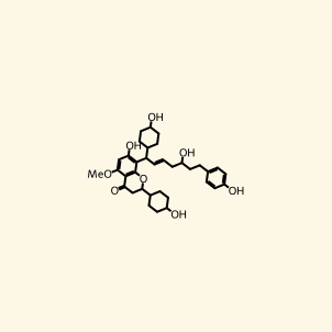 COc1cc(O)c(C(/C=C/CC(O)CCc2ccc(O)cc2)C2CCC(O)CC2)c2c1C(=O)CC(C1CCC(O)CC1)O2